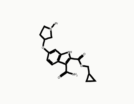 CC(C)N1CCC(Oc2ccc3c(C(N)=O)c(C(=O)OCC4CC4)[nH]c3c2)C1